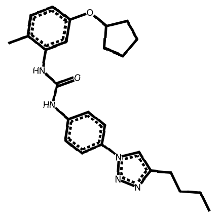 CCCCc1cn(-c2ccc(NC(=O)Nc3cc(OC4CCCC4)ccc3C)cc2)nn1